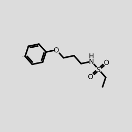 CCS(=O)(=O)NCCCOc1cc[c]cc1